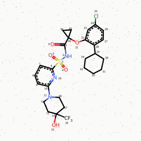 O=C(NS(=O)(=O)c1cccc(N2CCC(O)(C(F)(F)F)CC2)n1)C1(Oc2cc(Cl)ccc2C2CCCCC2)CC1